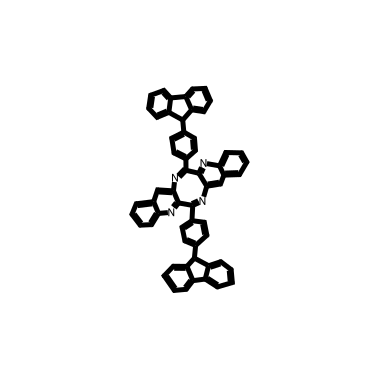 c1ccc2c(c1)-c1ccccc1C2c1ccc(/C2=N/c3cc4ccccc4nc3/C(c3ccc(C4c5ccccc5-c5ccccc54)cc3)=N\c3cc4ccccc4nc32)cc1